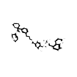 COc1cc(C(=O)NCCCc2cccc(C3(C(=O)OC4CN5CCC4CC5)CCCCC3)c2)c(Cl)cc1CNC[C@H](O[Si](C)(C)C(C)(C)C)c1ccc(O)c2[nH]c(=O)ccc12